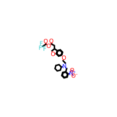 O=C(CC1COc2cc(OCCN(Cc3ccccc3[N+](=O)[O-])C3CCCCC3)ccc21)OC(=O)C(F)(F)F